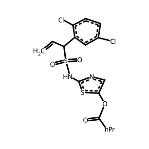 C=CC(c1cc(Cl)ccc1Cl)S(=O)(=O)Nc1ncc(OC(=O)CCC)s1